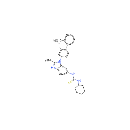 CCCCc1nc2ccc(NC(=S)NC3CCCCC3)cc2n1-c1ccc(-c2ccccc2C(=O)O)c(C)c1